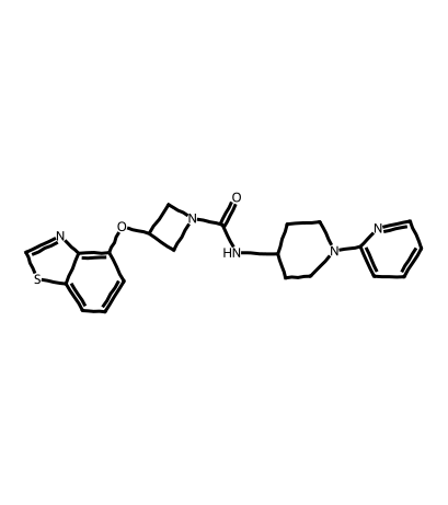 O=C(NC1CCN(c2ccccn2)CC1)N1CC(Oc2cccc3scnc23)C1